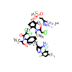 CC1COc2ccccc2N1C(=O)C(Cl)Cl.CCc1cccc(CC)c1N(COC)C(=O)CCl.CP(=O)(O)CCC(N)C(=O)O.Nc1c([N+](=O)[O-])cnn1-c1c(Cl)cc(C(F)(F)F)cc1Cl